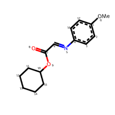 COc1ccc(N=CC(=O)OC2CCCCC2)cc1